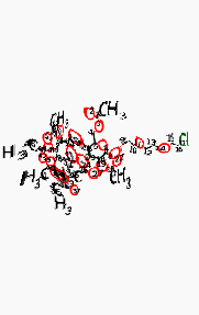 CC(=O)OCC1O[C@@H](OCCOCCOCCCl)C(OC(C)=O)C(OC(C)=O)[C@@H]1O[C@@H]1OC(COC(C)=O)[C@H](OC(C)=O)C(OC(C)=O)C1OC(C)=O